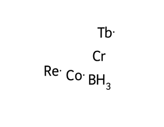 B.[Co].[Cr].[Re].[Tb]